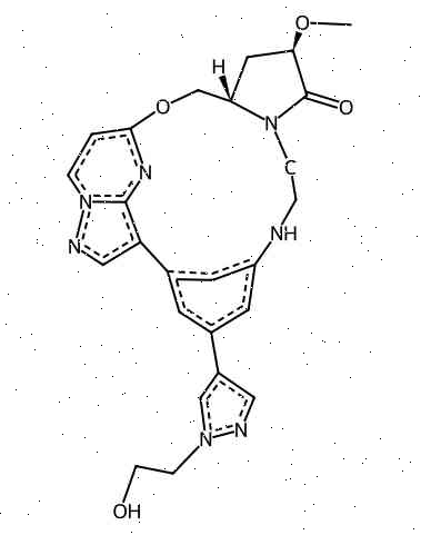 CO[C@@H]1C[C@H]2COc3ccn4ncc(c4n3)-c3cc(cc(-c4cnn(CCO)c4)c3)NCCN2C1=O